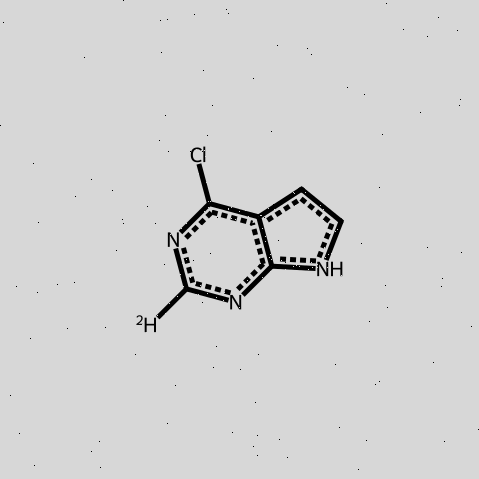 [2H]c1nc(Cl)c2cc[nH]c2n1